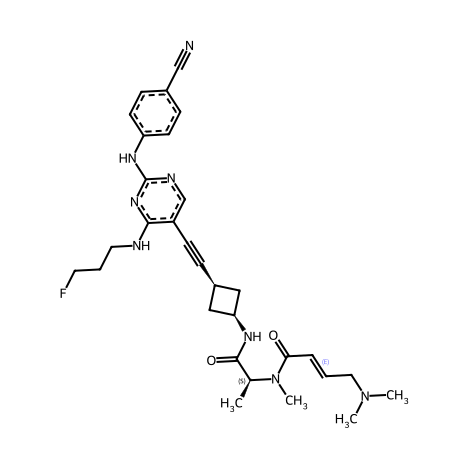 C[C@@H](C(=O)N[C@H]1C[C@@H](C#Cc2cnc(Nc3ccc(C#N)cc3)nc2NCCCF)C1)N(C)C(=O)/C=C/CN(C)C